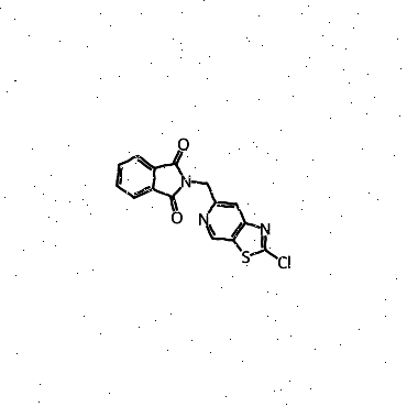 O=C1c2ccccc2C(=O)N1Cc1cc2nc(Cl)sc2cn1